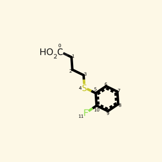 O=C(O)CCCSc1ccccc1F